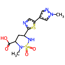 CN1C(C(=O)O)CC(c2ncc(-c3cnn(C)c3)s2)NS1(=O)=O